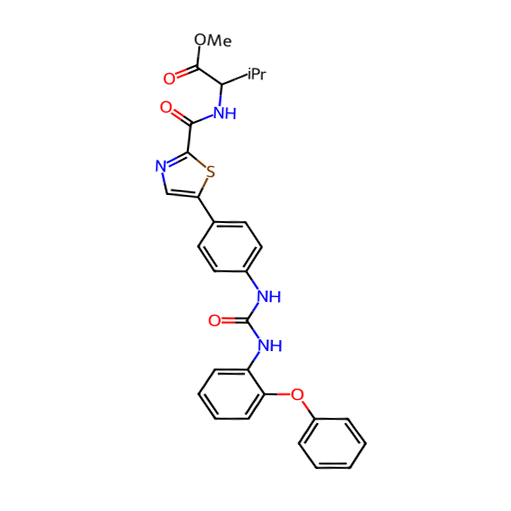 COC(=O)C(NC(=O)c1ncc(-c2ccc(NC(=O)Nc3ccccc3Oc3ccccc3)cc2)s1)C(C)C